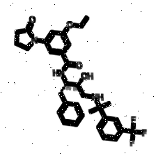 CCOc1cc(C(=O)N[C@@H](Cc2ccccc2)[C@@H](O)CNC(C)(C)c2cccc(C(F)(F)F)c2)cc(N2CCCC2=O)c1